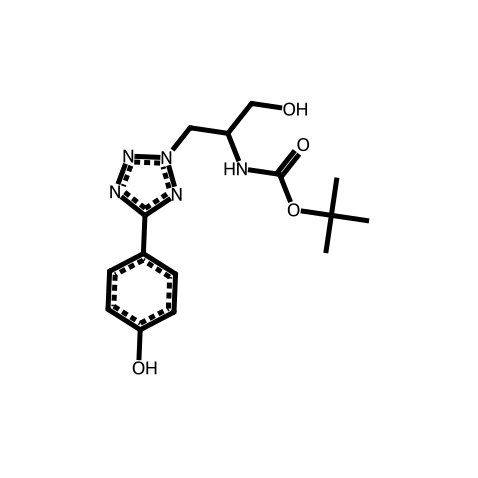 CC(C)(C)OC(=O)NC(CO)Cn1nnc(-c2ccc(O)cc2)n1